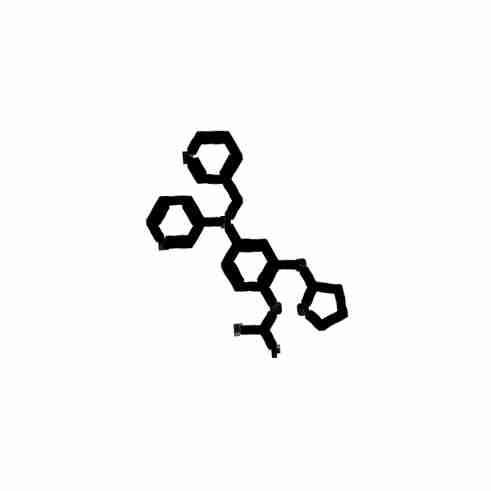 FC(F)Oc1ccc(N(Cc2cccnc2)c2cccnc2)cc1OC1CCCO1